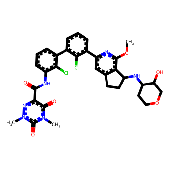 COc1nc(-c2cccc(-c3cccc(NC(=O)c4nn(C)c(=O)n(C)c4=O)c3Cl)c2Cl)cc2c1C(NC1CCOCC1O)CC2